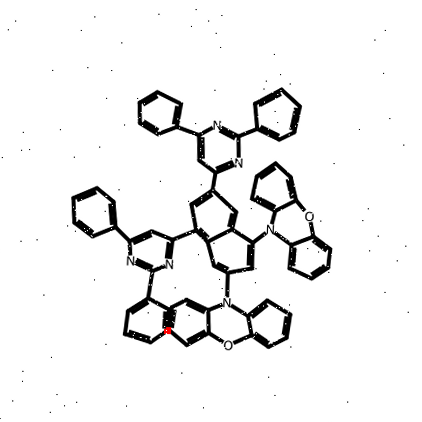 c1ccc(-c2cc(-c3cc(-c4cc(-c5ccccc5)nc(-c5ccccc5)n4)c4cc(N5c6ccccc6Oc6ccccc65)cc(N5c6ccccc6Oc6ccccc65)c4c3)nc(-c3ccccc3)n2)cc1